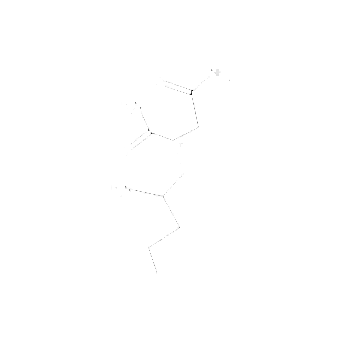 CCCC(N)C[C@@H](CC(N)=O)C(N)=O